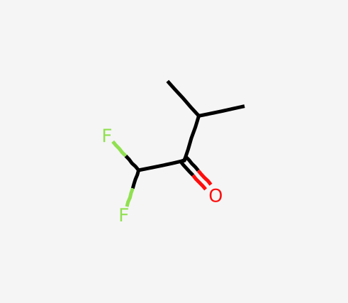 CC(C)C(=O)C(F)F